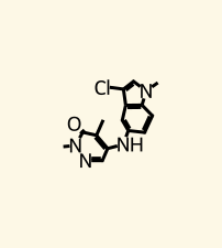 Cc1c(Nc2ccc3c(c2)c(Cl)cn3C)cnn(C)c1=O